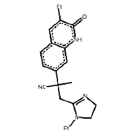 CCc1cc2ccc(C(C)(C#N)CC3=NCCN3CC)cc2[nH]c1=O